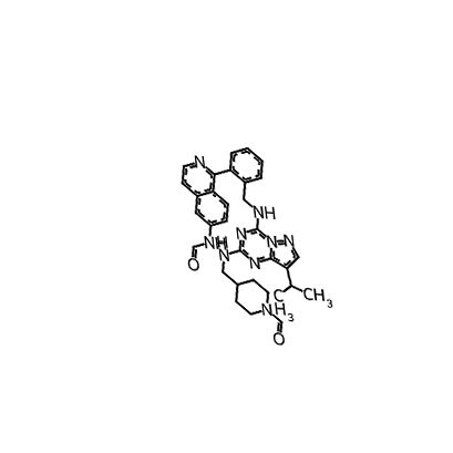 CC(C)c1cnn2c(NCc3ccccc3-c3nccc4cc(NC=O)ccc34)nc(NCC3CCN(C=O)CC3)nc12